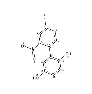 CCC(=O)c1cc(F)ccc1-c1cc(O)ccc1O